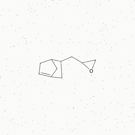 C1=C2CC(C1)C(CC1CO1)C2